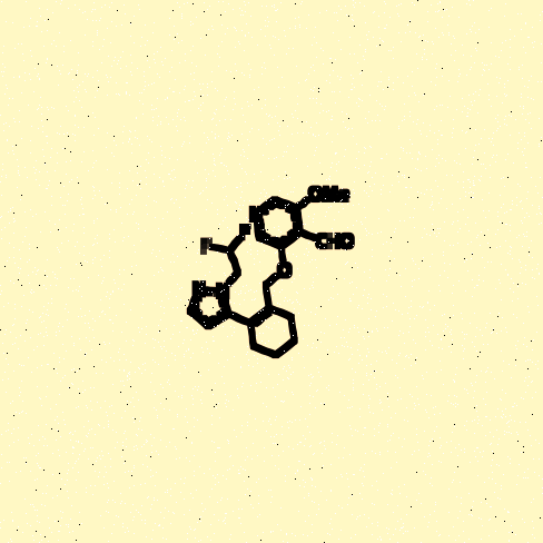 COc1cncc(OCC2=C(c3ccnn3CC(F)F)CCCC2)c1C=O